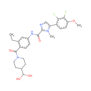 CCc1cc(NC(=O)c2ncc(-c3ccc(OC)c(F)c3F)n2C)ccc1C(=O)N1CCC(C(O)O)CC1